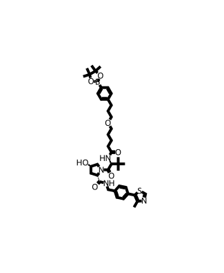 Cc1ncsc1-c1ccc(CNC(=O)[C@@H]2C[C@@H](O)CN2C(=O)[C@@H](NC(=O)CCCCOCCCc2ccc(B3OC(C)(C)C(C)(C)O3)cc2)C(C)(C)C)cc1